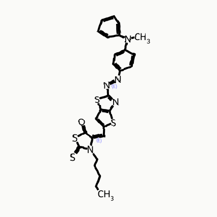 CCCCCN1C(=S)SC(=O)/C1=C\c1cc2sc(/N=N/c3ccc(N(C)c4ccccc4)cc3)nc2s1